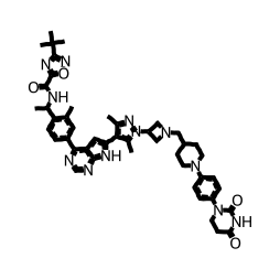 Cc1cc(-c2ncnc3[nH]c(-c4c(C)nn(C5CN(CC6CCN(c7ccc(N8CCC(=O)NC8=O)cc7)CC6)C5)c4C)cc23)ccc1C(C)NC(=O)c1nc(C(C)(C)C)no1